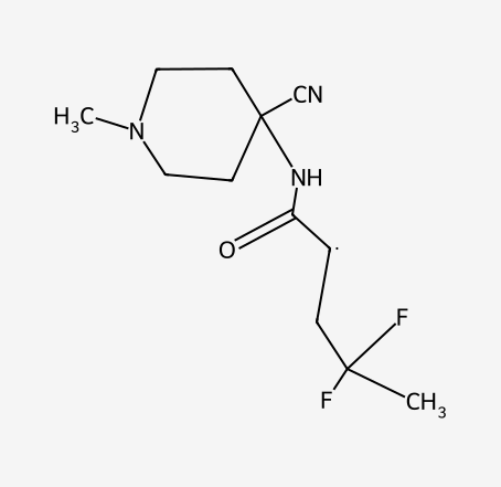 CN1CCC(C#N)(NC(=O)[CH]CC(C)(F)F)CC1